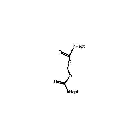 CCCCCCCC(=O)O[CH]OC(=O)CCCCCCC